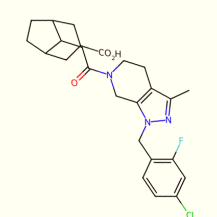 Cc1nn(Cc2ccc(Cl)cc2F)c2c1CCN(C(=O)CC1C3CCC1CC(C(=O)O)C3)C2